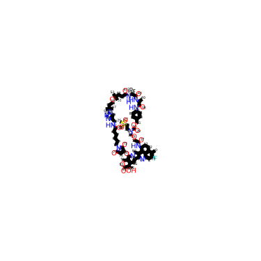 Cc1c(F)cc2nc3c(c4c2c1CC[C@@H]4NC(=O)COCN(CCS(C)(=O)=O)C(=O)OCc1ccc(NC(=O)C(C)NC(=O)[C@@H](NC(=O)CCC(C)(C)OCCC(C)(C)n2cc(CNC(=O)CCCCCN4C(=O)C=CC4=O)nn2)C(C)C)cc1)Cn1c-3cc2c(c1=O)COC(=O)[C@@]2(C)O